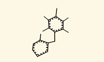 O=[N+]([O-])c1c(O)c(O)c2c(c1[N+](=O)[O-])Oc1ccccc1C2